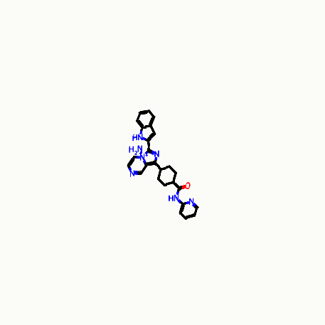 N[N+]12C=CN=CC1=C(C1CCC(C(=O)Nc3ccccn3)CC1)N=C2c1cc2ccccc2[nH]1